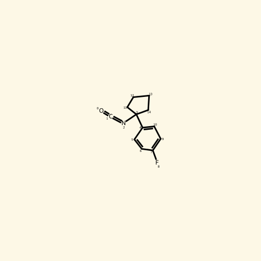 O=C=NC1(c2ccc(F)cc2)CCCC1